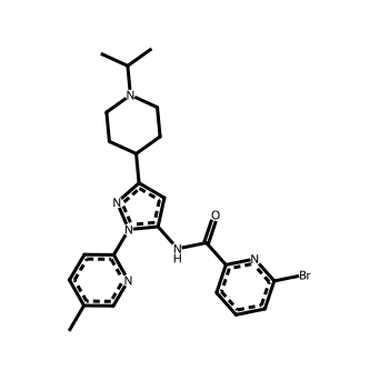 Cc1ccc(-n2nc(C3CCN(C(C)C)CC3)cc2NC(=O)c2cccc(Br)n2)nc1